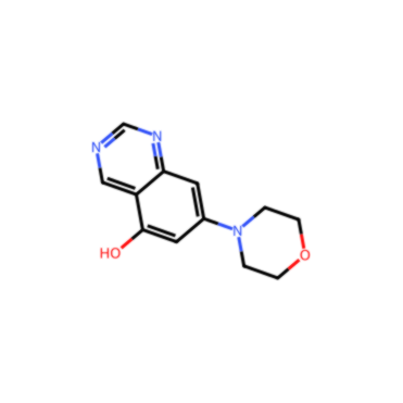 Oc1cc(N2CCOCC2)cc2ncncc12